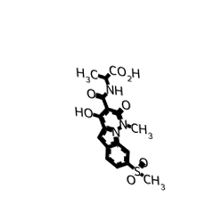 CC(NC(=O)c1c(O)c2cc3ccc(S(C)(=O)=O)cc3n2n(C)c1=O)C(=O)O